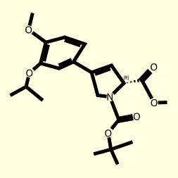 COC(=O)[C@H]1C=C(c2ccc(OC)c(OC(C)C)c2)CN1C(=O)OC(C)(C)C